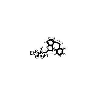 CCOP(=O)(OCC)N(C)CCCN1c2ccccc2CCc2ccccc21